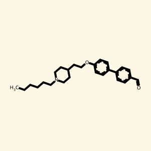 CCCCCCN1CCC(CCOc2ccc(-c3ccc(C=O)cc3)cc2)CC1